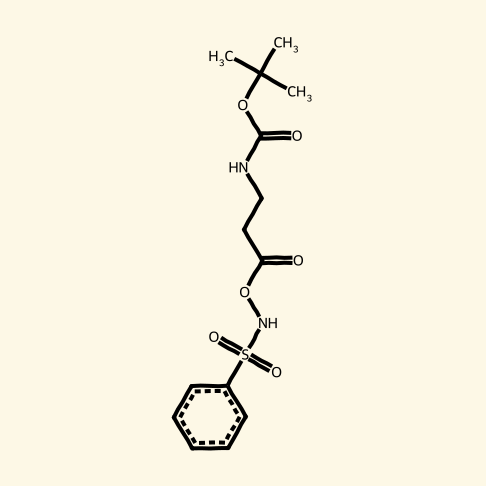 CC(C)(C)OC(=O)NCCC(=O)ONS(=O)(=O)c1ccccc1